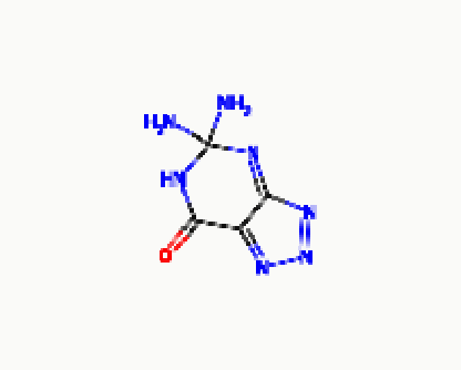 NC1(N)N=C2N=NN=C2C(=O)N1